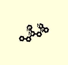 c1ccc(-c2cccc(-c3cc(-c4cccc(-n5c6ccccc6c6ccncc65)c4)cc(-c4ccccn4)n3)c2)cc1